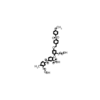 COc1ccc(S(=O)(=O)c2ccc(COc3ccc(Oc4ccc(S(=O)(=O)c5ccc(C)c(SOOO)c5)cc4S(=O)(=O)O)c(SOOO)c3)cc2)cc1